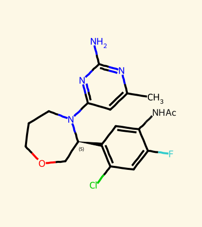 CC(=O)Nc1cc([C@H]2COCCCN2c2cc(C)nc(N)n2)c(Cl)cc1F